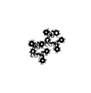 O=C(O)N1CCC(n2c(=O)n(CC3CCCCC3)c3ccccc32)C[C@@H]1CCCN(Cc1ccccc1)Cc1ccccc1.O=C(O)N1CCC(n2c(=O)n(Cc3ccccc3)c3ccccc32)C[C@@H]1CCCN(Cc1ccccc1)Cc1ccccc1